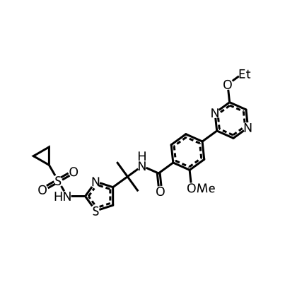 CCOc1cncc(-c2ccc(C(=O)NC(C)(C)c3csc(NS(=O)(=O)C4CC4)n3)c(OC)c2)n1